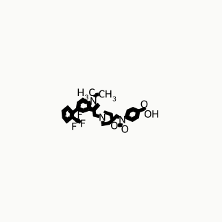 CC(C)n1cc(CN2CCC3(CC2)CN(c2ccc(C(=O)O)cc2)C(=O)O3)c2cc(-c3ccccc3C(F)(F)F)ccc21